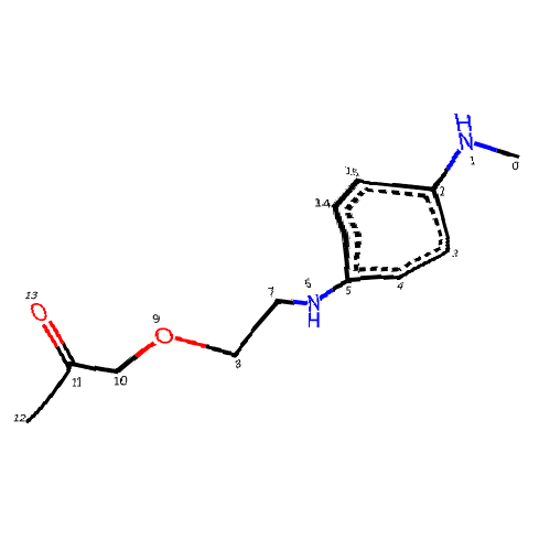 CNc1ccc(NCCOCC(C)=O)cc1